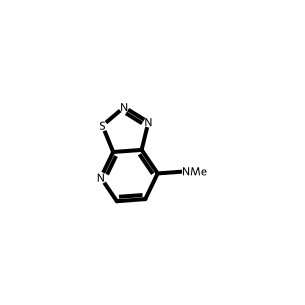 CNc1ccnc2snnc12